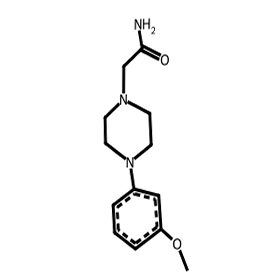 COc1cccc(N2CCN(CC(N)=O)CC2)c1